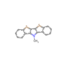 Cn1c2c3ccccc3sc2c2sc3ccccc3c21